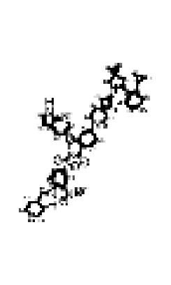 O=C(NS(=O)(=O)c1ccc(NCC2CCOCC2)c([N+](=O)[O-])c1)c1ccc(N2CCC3(CC2)CC(N2CC4(CC4)CC2c2ccccc2C2CC2)C3)cc1Oc1cnc2[nH]ccc2c1